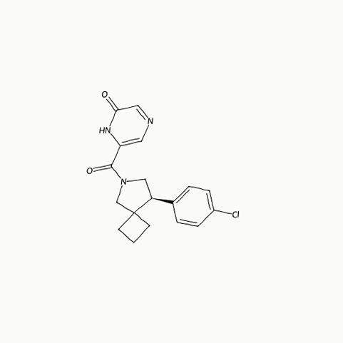 O=C(c1cncc(=O)[nH]1)N1C[C@@H](c2ccc(Cl)cc2)C2(CCC2)C1